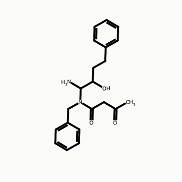 CC(=O)CC(=O)N(Cc1ccccc1)C(N)C(O)CCc1ccccc1